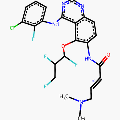 CN(C)C/C=C/C(=O)Nc1ccc2ncnc(Nc3cccc(Cl)c3F)c2c1OC(F)C(F)CF